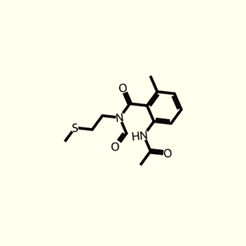 CSCCN(C=O)C(=O)c1c(C)cccc1NC(C)=O